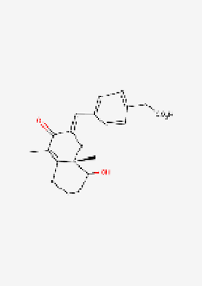 CC1=C2CCC[C@H](O)[C@@]2(C)C/C(=C\c2ccc(CC(=O)O)cc2)C1=O